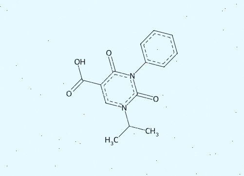 CC(C)n1cc(C(=O)O)c(=O)n(-c2ccccc2)c1=O